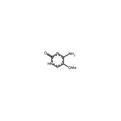 COc1c[nH]c(=O)nc1N